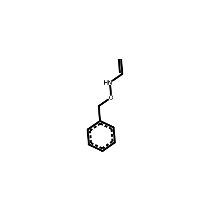 C=CNOCc1ccccc1